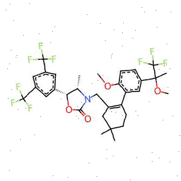 COc1ccc(C(C)(OC)C(F)(F)F)cc1C1=C(CN2C(=O)O[C@H](c3cc(C(F)(F)F)cc(C(F)(F)F)c3)[C@@H]2C)CC(C)(C)CC1